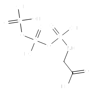 O=C(O)CNP(=O)(O)OP(=O)(O)OP(=O)(O)O